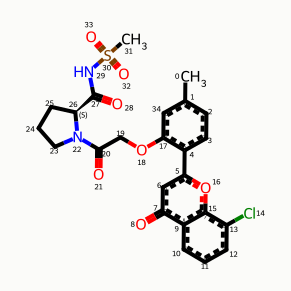 Cc1ccc(-c2cc(=O)c3cccc(Cl)c3o2)c(OCC(=O)N2CCC[C@H]2C(=O)NS(C)(=O)=O)c1